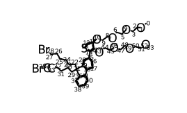 COCCOCCOCCOc1csc(-c2ccc3c(c2)C(CCCCCCBr)(CCCCCCBr)c2ccccc2-3)c1OCCOCCOCCOC